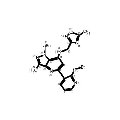 CCOc1ncccc1-c1cc(NCc2noc(C)n2)c2c(n1)c(C)nn2[C@H](C)CC